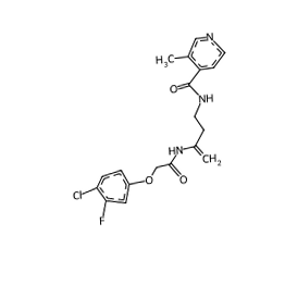 C=C(CCNC(=O)c1ccncc1C)NC(=O)COc1ccc(Cl)c(F)c1